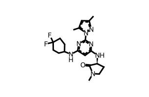 Cc1cc(C)n(-c2nc(NC3CCC(F)(F)CC3)cc(N[C@H]3CCN(C)C3=O)n2)n1